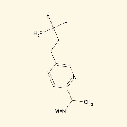 CNC(C)c1ccc(CCC(F)(F)P)cn1